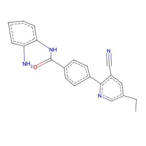 CCc1cnc(-c2ccc(C(=O)Nc3ccccc3N)cc2)c(C#N)c1